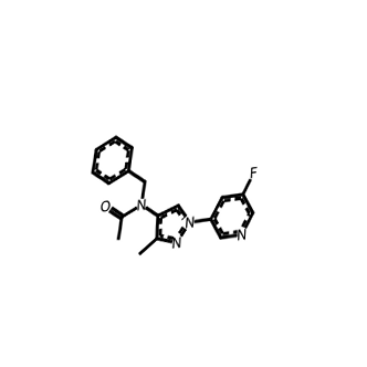 CC(=O)N(Cc1ccccc1)c1cn(-c2cncc(F)c2)nc1C